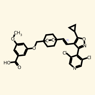 COc1cc(OCC23CCC(/C=C/c4c(-c5c(Cl)cncc5Cl)noc4C4CC4)(CC2)CC3)cc(C(=O)O)c1